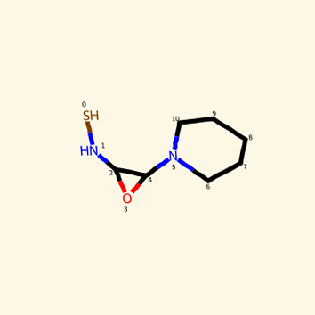 SNC1OC1N1CCCCC1